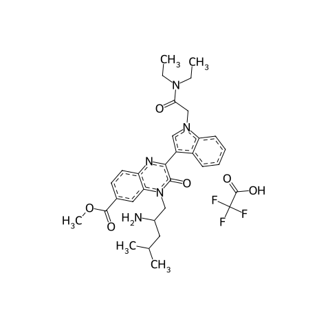 CCN(CC)C(=O)Cn1cc(-c2nc3ccc(C(=O)OC)cc3n(CC(N)CC(C)C)c2=O)c2ccccc21.O=C(O)C(F)(F)F